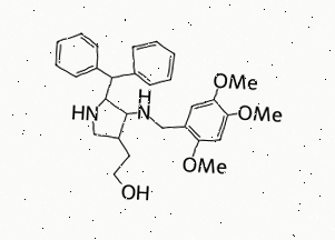 COc1cc(OC)c(OC)cc1CNC1C(CCO)CNC1C(c1ccccc1)c1ccccc1